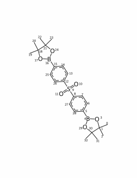 CC1(C)OB(c2ccc(S(=O)(=O)c3ccc(B4OC(C)(C)C(C)(C)O4)cc3)cc2)OC1(C)C